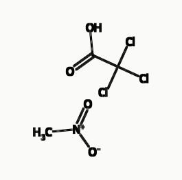 C[N+](=O)[O-].O=C(O)C(Cl)(Cl)Cl